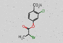 CC(Br)C(=O)Oc1ccc(C(=O)O)c(Cl)c1